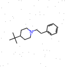 CC(C)(C)C1CCN(CCc2ccccc2)CC1